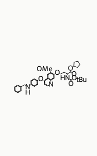 COc1cc2c(Oc3ccc(NCc4ccccc4)cc3)ccnc2cc1OCCC(NC(=O)OC(C)(C)C)C(=O)OC1CCCC1